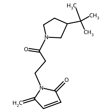 C=C1C=CC(=O)N1CCC(=O)N1CCC(C(C)(C)C)C1